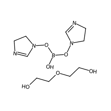 OB(ON1C=NCC1)ON1C=NCC1.OCCOCCO